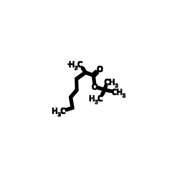 [CH2]C(CCCCC)C(=O)OC(C)(C)C